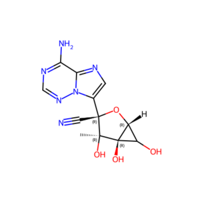 C[C@]1(O)[C@](C#N)(c2cnc3c(N)ncnn23)O[C@@H]2C(O)[C@@]21O